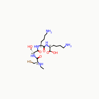 CCN[C@@H](CS)C(=O)N[C@H](CO)C(=O)N[C@@H](CCCCN)C(=O)N[C@@H](CCCCN)C(=O)O